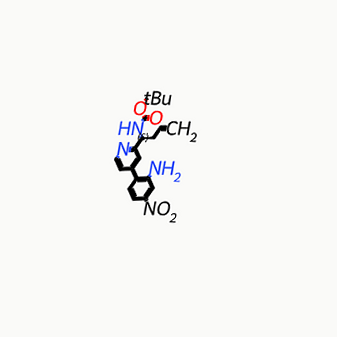 C=CC[C@H](NC(=O)OC(C)(C)C)c1cc(-c2ccc([N+](=O)[O-])cc2N)ccn1